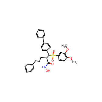 COc1ccc(S(=O)(=O)C(c2ccc(-c3ccccc3)cc2)C(CCCc2ccccc2)C(=O)NO)cc1OC